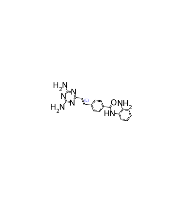 Nc1nc(N)nc(/C=C/c2ccc(C(=O)Nc3ccccc3N)cc2)n1